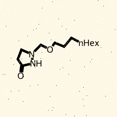 CCCCCCCCCOCN1CCC(=O)N1